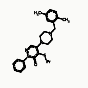 Cc1ccc(C)c(CN2CCN(c3cnn(-c4ccccc4)c(=O)c3SC(C)C)CC2)c1